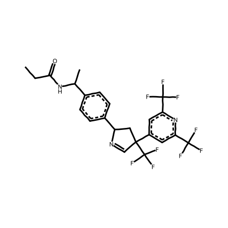 CCC(=O)NC(C)c1ccc(C2CC(c3cc(C(F)(F)F)nc(C(F)(F)F)c3)(C(F)(F)F)C=N2)cc1